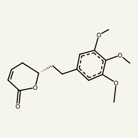 COc1cc(CC[C@H]2CC=CC(=O)O2)cc(OC)c1OC